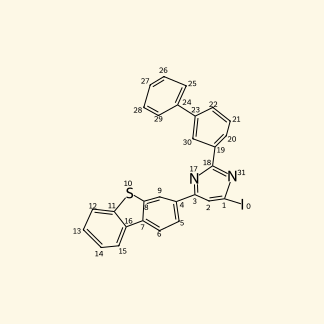 Ic1cc(-c2ccc3c(c2)sc2ccccc23)nc(-c2cccc(-c3ccccc3)c2)n1